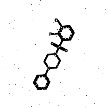 O=S(=O)(c1cccc(Cl)c1F)N1CCN(c2ccccc2)CC1